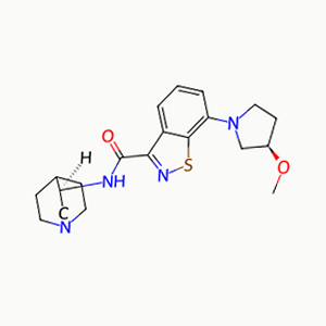 CO[C@@H]1CCN(c2cccc3c(C(=O)N[C@H]4CN5CCC4CC5)nsc23)C1